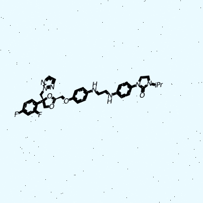 CC(C)N1CCN(c2ccc(NCCNc3ccc(OC[C@H]4OC[C@](Cn5nccn5)(c5ccc(F)cc5F)O4)cc3)cc2)C1=O